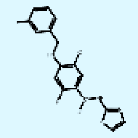 [O-][S+](Nc1nccs1)c1cc(Cl)c(NCc2cccc(F)c2)cc1F